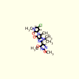 COc1ncc(-c2nc3c(n2C(C)C)[C@H](C)N(c2cc(Cl)cn(C)c2=O)C3=O)c(OC)n1